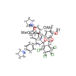 CCOc1ccc(/C(=C\C2(/C=C(/c3ccc(N4CCCC4)cc3)c3ccc(OCC)c(OC)c3)OC(=O)c3c(Cl)c(Cl)c(Cl)c(Cl)c32)c2ccc(N3CCCC3)cc2)cc1OC